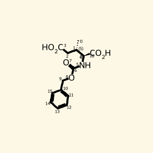 C[C@@H](CC(=O)O)[C@H](NC(=O)OCc1ccccc1)C(=O)O